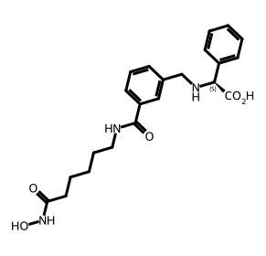 O=C(CCCCCNC(=O)c1cccc(CN[C@H](C(=O)O)c2ccccc2)c1)NO